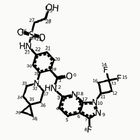 O=C(Nc1ccc2c(F)nn(C3CC(F)(F)C3)c2n1)c1ccc(NS(=O)(=O)CCO)cc1N1CCC2(CC1)CC2